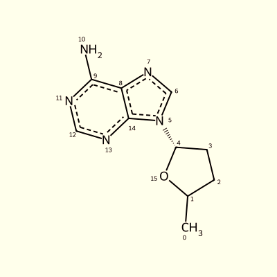 CC1CC[C@@H](n2cnc3c(N)ncnc32)O1